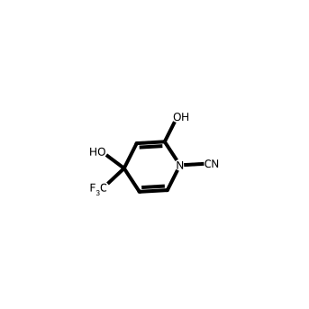 N#CN1C=CC(O)(C(F)(F)F)C=C1O